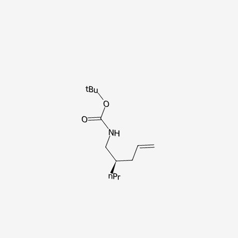 C=CC[C@@H](CCC)CNC(=O)OC(C)(C)C